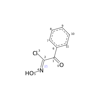 O=C(/C(Cl)=N/O)c1ccccc1